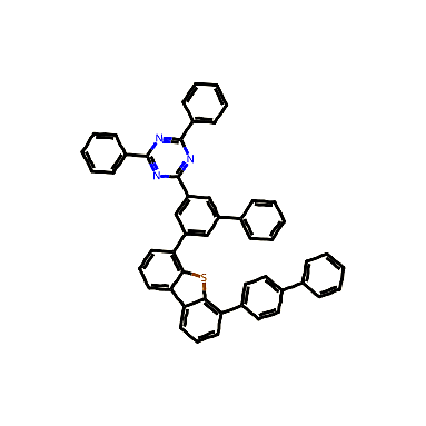 c1ccc(-c2ccc(-c3cccc4c3sc3c(-c5cc(-c6ccccc6)cc(-c6nc(-c7ccccc7)nc(-c7ccccc7)n6)c5)cccc34)cc2)cc1